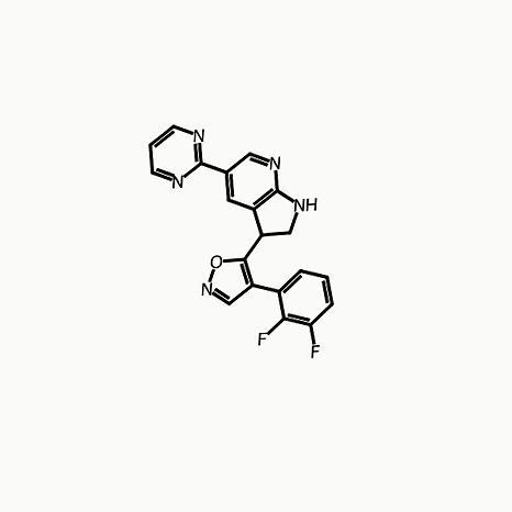 Fc1cccc(-c2cnoc2C2CNc3ncc(-c4ncccn4)cc32)c1F